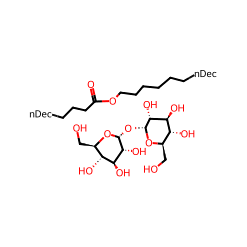 CCCCCCCCCCCCCCCCOC(=O)CCCCCCCCCCCCC.OC[C@H]1O[C@H](O[C@H]2O[C@H](CO)[C@@H](O)[C@H](O)[C@H]2O)[C@H](O)[C@@H](O)[C@@H]1O